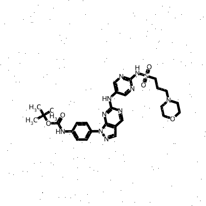 CC(C)(C)OC(=O)Nc1ccc(-n2ncc3cnc(Nc4cnc(NS(=O)(=O)CCCN5CCOCC5)nc4)nc32)cc1